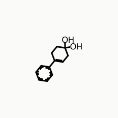 OC1(O)CC=C(c2ccccc2)CC1